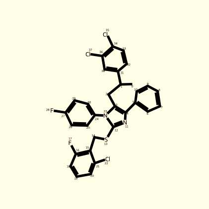 CC(Cc1c(-c2ccccc2)nc(SCc2c(F)cccc2Cl)n1-c1ccc(F)cc1)c1ccc(Cl)c(Cl)c1